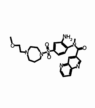 COCCN1CCCN(S(=O)(=O)c2ccc(N(C)C(=O)c3cnc4cccnc4c3)c(N)c2)CC1